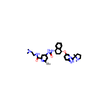 CN(C)CCNC(=O)c1cc(NC(=O)N[C@H]2CC[C@@H](Oc3ccc4nnc(C5(C)CCCN5C)n4c3)c3ccccc32)cc(C(C)(C)C)n1